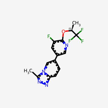 Cc1nnc2ccc(-c3cnc(O[C@@H](C)C(F)(F)F)c(F)c3)cn12